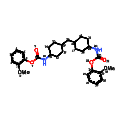 COc1ccccc1OC(=O)NC1CCC(CC2CCC(NC(=O)Oc3ccccc3OC)CC2)CC1